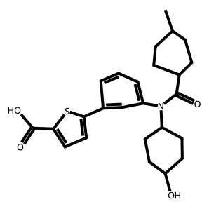 CC1CCC(C(=O)N(c2cccc(-c3ccc(C(=O)O)s3)c2)C2CCC(O)CC2)CC1